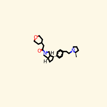 C[C@@H]1CCCN1CCc1ccc([C@@H]2CC[C@@H]3CN(C(=O)CC4CCOCC4)C[C@@H]32)cc1